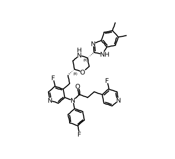 Cc1cc2nc([C@@H]3CO[C@H](CCc4c(F)cncc4N(C(=O)CCc4ccncc4F)c4ccc(F)cc4)CN3)[nH]c2cc1C